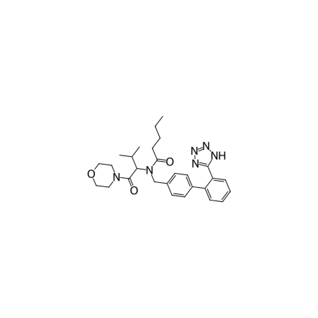 CCCCC(=O)N(Cc1ccc(-c2ccccc2-c2nnn[nH]2)cc1)C(C(=O)N1CCOCC1)C(C)C